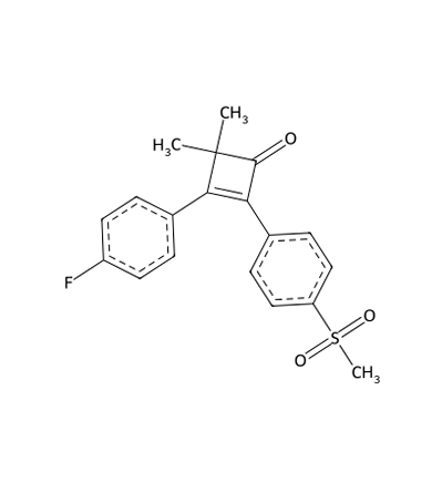 CC1(C)C(=O)C(c2ccc(S(C)(=O)=O)cc2)=C1c1ccc(F)cc1